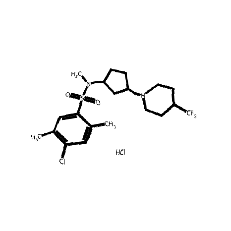 Cc1cc(S(=O)(=O)N(C)C2CCC(N3CCC(C(F)(F)F)CC3)C2)c(C)cc1Cl.Cl